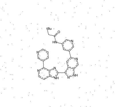 CC(C)(C)CC(=O)Nc1cncc(-c2cc3c(-c4nc5c(-c6cccnc6)nccc5[nH]4)n[nH]c3cn2)c1